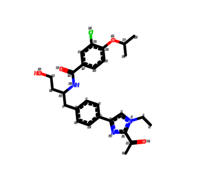 CCn1cc(-c2ccc(CC(CCO)NC(=O)c3ccc(OC(C)C)c(Cl)c3)cc2)nc1C(C)=O